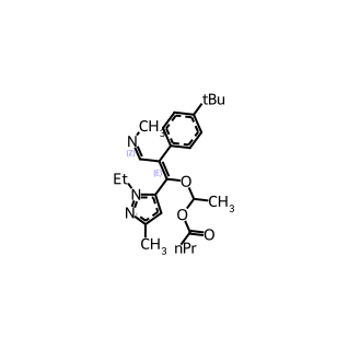 CCCC(=O)OC(C)O/C(=C(/C=N\C)c1ccc(C(C)(C)C)cc1)c1cc(C)nn1CC